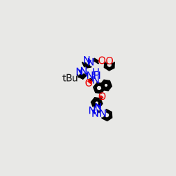 CC(C)(C)c1cc(NC(=O)N[C@H]2CC[C@@H](Oc3ccc4nnc(N5CCCCC5)n4c3)c3ccccc32)n(-c2cnn(CCOC3CCCCO3)c2)n1